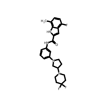 Cc1ccc(F)c2cc(C(=O)Nc3cccc(N4CCC(N5CCC(F)(F)CC5)C4)c3)[nH]c12